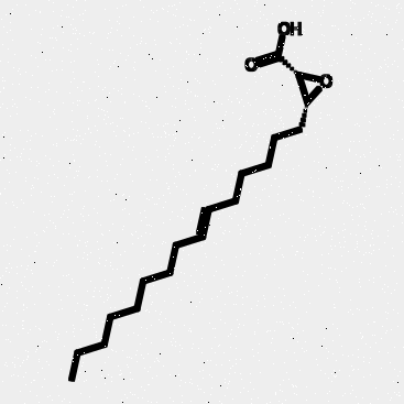 CCCCCCCCC=CCCCCC[C@H]1O[C@H]1C(=O)O